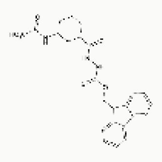 O=C(NNC(=O)C1CCCC(NC(=O)C(=O)O)C1)OCC1c2ccccc2-c2ccccc21